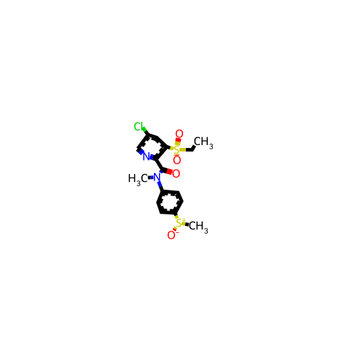 CCS(=O)(=O)c1cc(Cl)cnc1C(=O)N(C)c1ccc([S+](C)[O-])cc1